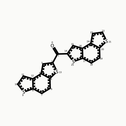 O=C(c1cc2c(ccc3sccc32)s1)c1cc2c(ccc3sccc32)s1